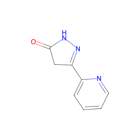 O=C1CC(c2ccccn2)=NN1